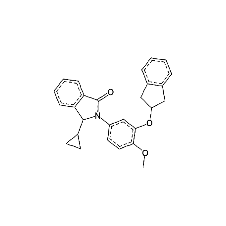 COc1ccc(N2C(=O)c3ccccc3C2C2CC2)cc1OC1Cc2ccccc2C1